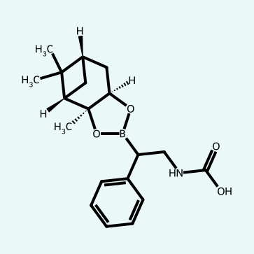 CC1(C)[C@@H]2C[C@H]3OB(C(CNC(=O)O)c4ccccc4)O[C@@]3(C)[C@H]1C2